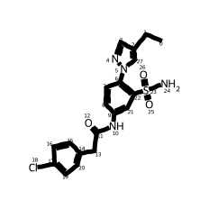 CCc1cnn(-c2ccc(NC(=O)Cc3ccc(Cl)cc3)cc2S(N)(=O)=O)c1